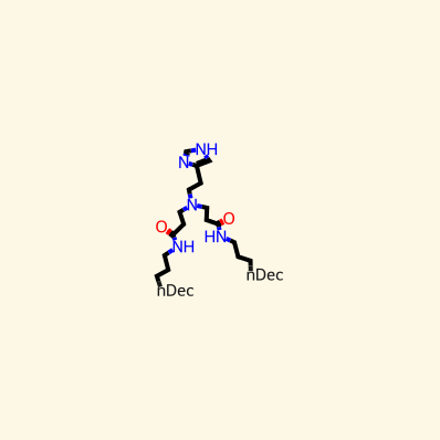 CCCCCCCCCCCCCNC(=O)CCN(CCC(=O)NCCCCCCCCCCCCC)CCc1c[nH]cn1